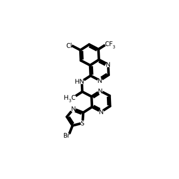 CC(Nc1ncnc2c(C(F)(F)F)cc(Cl)cc12)c1nccnc1-c1ncc(Br)s1